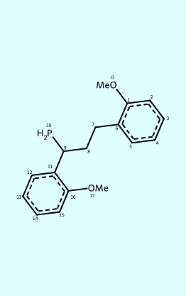 COc1ccccc1CCC(P)c1ccccc1OC